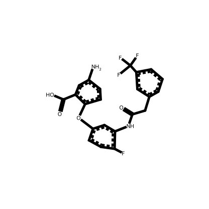 Nc1ccc(Oc2ccc(F)c(NC(=O)Cc3cccc(C(F)(F)F)c3)c2)c(C(=O)O)c1